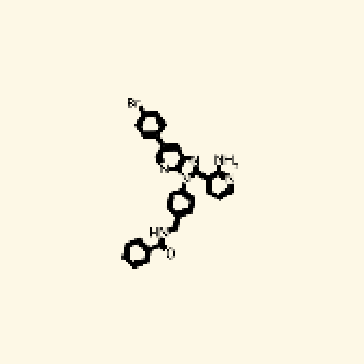 Nc1ncccc1-c1nc2cc(-c3ccc(Br)cc3)cnc2n1-c1ccc(CNC(=O)c2ccccc2)cc1